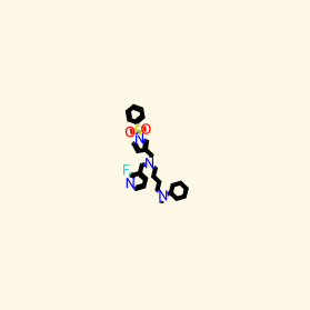 CN(CCCCN(Cc1ccn(S(=O)(=O)c2ccccc2)c1)Cc1cccnc1F)C1CCCCC1